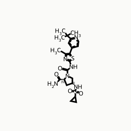 Cc1nc(NC(=O)N2C[C@H](NS(=O)(=O)C3CC3)C[C@H]2C(N)=O)sc1-c1ccnc(C(C)(C)C)c1